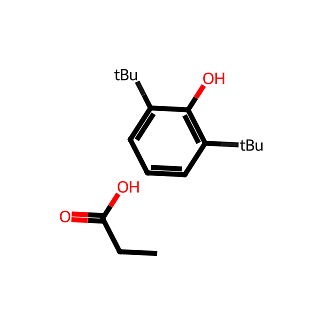 CC(C)(C)c1cccc(C(C)(C)C)c1O.CCC(=O)O